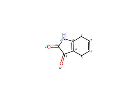 O=C1NC2=C(CC=CC2)C1=O